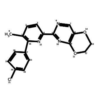 Cc1ccc(-c2ncc3c(n2)OCCO3)nc1-c1ccc(Cl)cc1